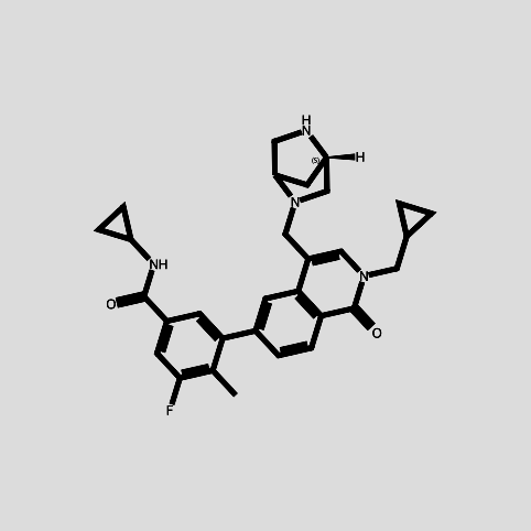 Cc1c(F)cc(C(=O)NC2CC2)cc1-c1ccc2c(=O)n(CC3CC3)cc(CN3C[C@@H]4CC3CN4)c2c1